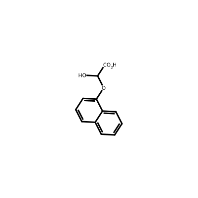 O=C(O)C(O)Oc1cccc2ccccc12